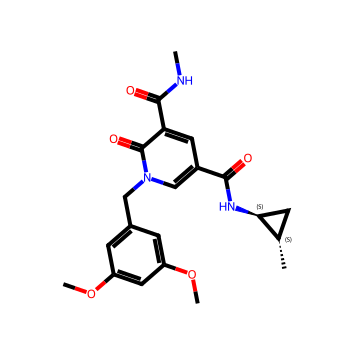 CNC(=O)c1cc(C(=O)N[C@H]2C[C@@H]2C)cn(Cc2cc(OC)cc(OC)c2)c1=O